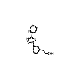 OCCc1cccc(-n2nnc(-c3ccccn3)n2)c1